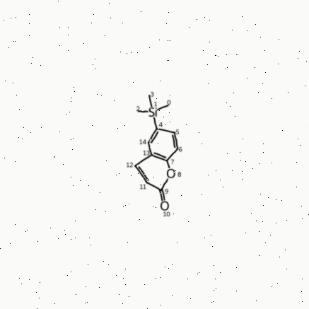 C[Si](C)(C)c1ccc2oc(=O)ccc2c1